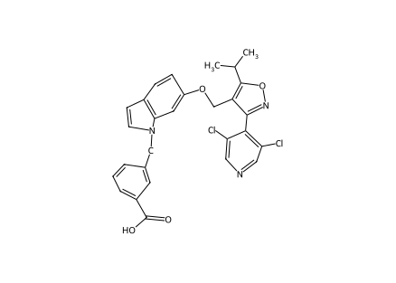 CC(C)c1onc(-c2c(Cl)cncc2Cl)c1COc1ccc2ccn(Cc3cccc(C(=O)O)c3)c2c1